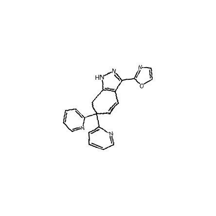 C1=CC(c2ccccn2)(c2ccccn2)Cc2[nH]nc(-c3ncco3)c21